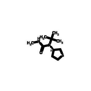 CNC(=O)N([C@@H]1CCSC1)C(C)(C)C